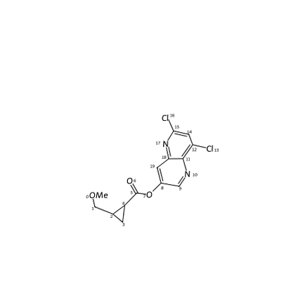 COCC1CC1C(=O)Oc1cnc2c(Cl)cc(Cl)nc2c1